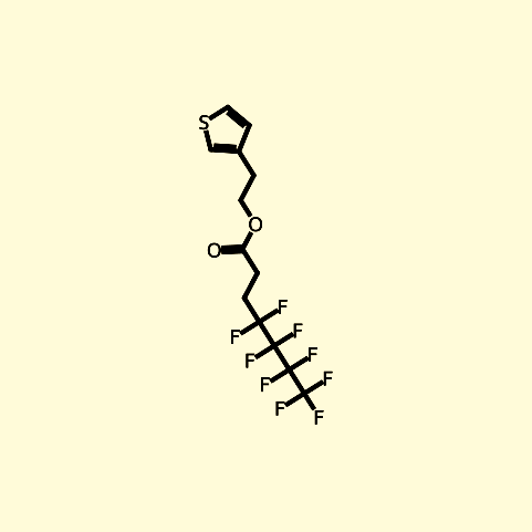 O=C(CCC(F)(F)C(F)(F)C(F)(F)C(F)(F)F)OCCc1ccsc1